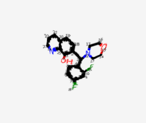 Oc1c(C(c2ccc(F)cc2F)N2CCOCC2)ccc2cccnc12